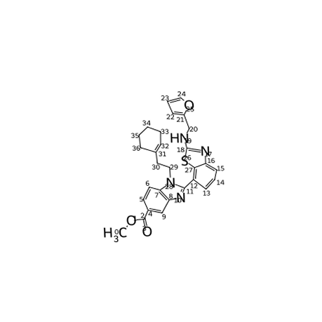 COC(=O)c1ccc2c(c1)nc(-c1cccc3nc(NCc4ccco4)sc13)n2CCC1=CCCCC1